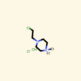 CC[N+]1(CC)CCN(CCCl)CC1.Cl.[Cl-]